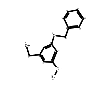 CCOc1cc(CO)cc(OCc2ccccc2)c1